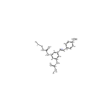 CCCOC(=O)Oc1cc(/C=C/c2ccc(O)cc2)cc(OC(=O)OC)c1